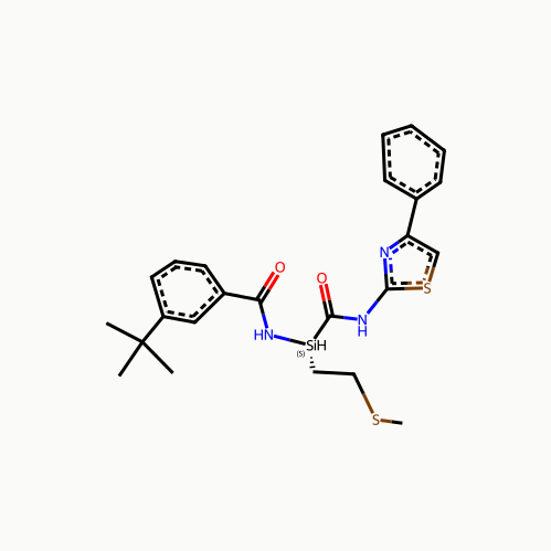 CSCC[Si@H](NC(=O)c1cccc(C(C)(C)C)c1)C(=O)Nc1nc(-c2ccccc2)cs1